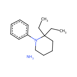 CCC1(CC)CCCCN1c1ccccc1.N